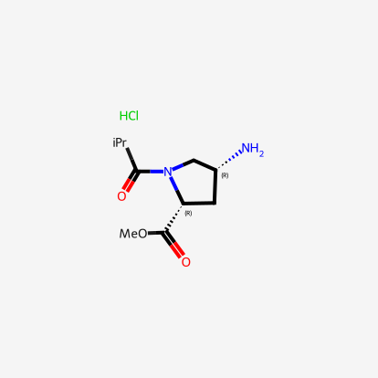 COC(=O)[C@H]1C[C@@H](N)CN1C(=O)C(C)C.Cl